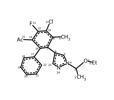 CCOC(C)n1cc(-c2c(C)c(Cl)c(F)c(C(C)=O)c2-c2ccccc2)cn1